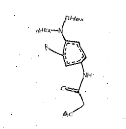 CCCCCCN(CCCCCC)c1ccc(NC(=O)CC(C)=O)cc1F